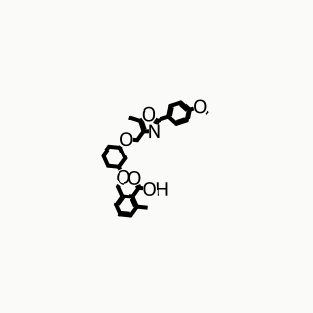 COc1ccc(-c2nc(COC3CCCC(OCc4cccc(C)c4C(=O)O)C3)c(C)o2)cc1